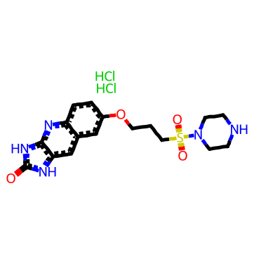 Cl.Cl.O=c1[nH]c2cc3cc(OCCCS(=O)(=O)N4CCNCC4)ccc3nc2[nH]1